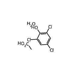 CC(=O)O.O.Oc1c(Cl)cc(Cl)cc1Cl